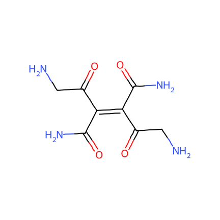 NCC(=O)/C(C(N)=O)=C(\C(N)=O)C(=O)CN